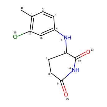 Cc1ccc(NC2CCC(=O)NC2=O)cc1Cl